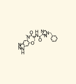 CN1C(=O)[C@@H](NC(=O)c2ncn(Cc3ccccc3)n2)COc2cc3[nH]nnc3cc21